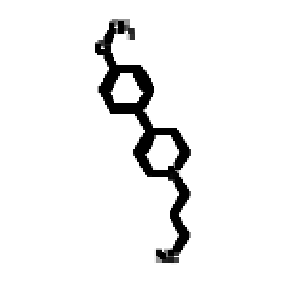 N#CCCCN1CC=C(c2ccc(OC(F)(F)F)cc2)CC1